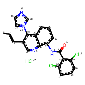 CC=Cc1cnc2c(NC(=O)c3c(Cl)cccc3Cl)cccc2c1-n1ccnc1.Cl